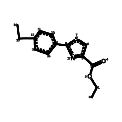 CCOC(=O)c1csc(-c2ccc(CC)cc2)n1